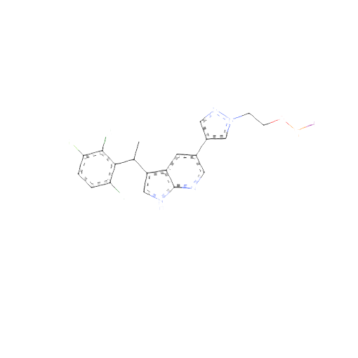 CC(c1c(Cl)ccc(F)c1Cl)c1c[nH]c2ncc(-c3cnn(CCOPI)c3)cc12